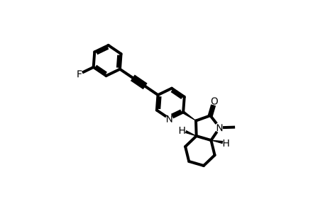 CN1C(=O)[C@H](c2ccc(C#Cc3cccc(F)c3)cn2)[C@H]2CCCC[C@H]21